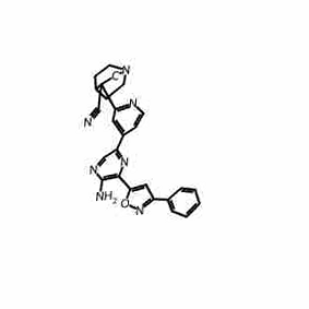 N#CC1(c2cc(-c3cnc(N)c(-c4cc(-c5ccccc5)no4)n3)ccn2)CN2CCC1CC2